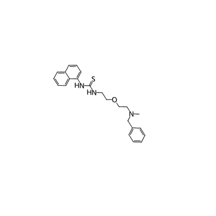 CN(CCOCCNC(=S)Nc1cccc2ccccc12)Cc1ccccc1